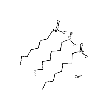 CCCCCCCC[PH](=O)[O-].CCCCCCCC[PH](=O)[O-].CCCCCCCC[PH](=O)[O-].[Co+3]